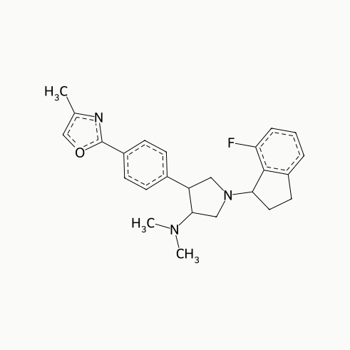 Cc1coc(-c2ccc(C3CN(C4CCc5cccc(F)c54)CC3N(C)C)cc2)n1